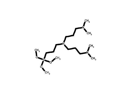 CO[Si](CCCN(CCCN(C)C)CCCN(C)C)(OC)OC